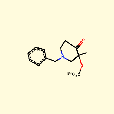 CCOC(=O)OC1(C)CN(Cc2ccccc2)CCC1=O